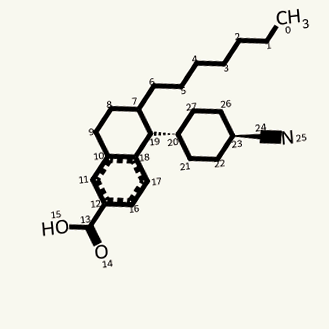 CCCCCCCC1CCc2cc(C(=O)O)ccc2C1[C@H]1CC[C@H](C#N)CC1